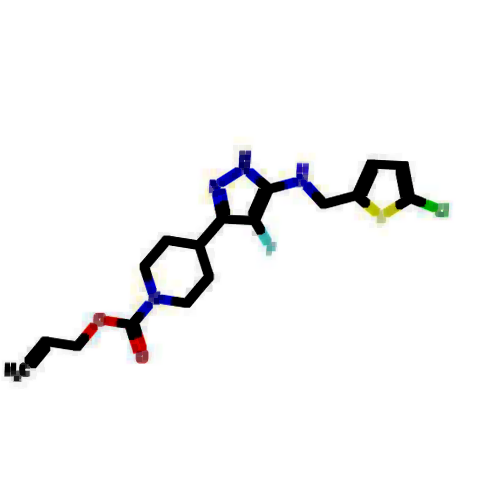 C=CCOC(=O)N1CCC(c2n[nH]c(NCc3ccc(Cl)s3)c2F)CC1